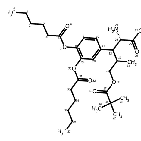 CCCCCC(=O)Oc1ccc(C(C(C)COC(=O)C(C)(C)C)[C@H](N)C(=O)O)cc1OC(=O)CCCCC